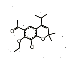 CCOc1c(C(C)=O)cc2c(c1Cl)OC(C)(C)C=C2C(C)C